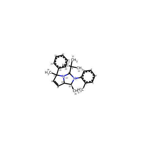 Cc1ccccc1N1C(C(C)(C)C)N2C(C=CC2(C)c2ccccc2)[C@@H]1C